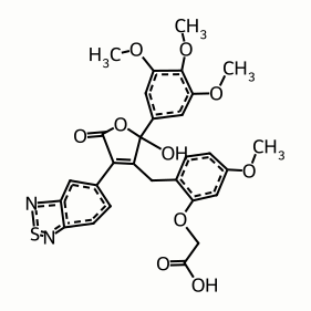 COc1ccc(CC2=C(c3ccc4nsnc4c3)C(=O)OC2(O)c2cc(OC)c(OC)c(OC)c2)c(OCC(=O)O)c1